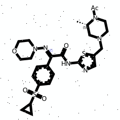 CC(=O)N1CCN(Cc2cnc(NC(=O)/C(=N/N3CCOCC3)c3ccc(S(=O)(=O)C4CC4)cc3)s2)C[C@@H]1C